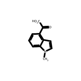 Cn1ccc2c(C(=O)C(=O)O)cccc21